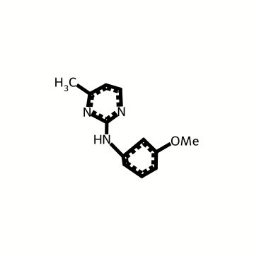 COc1cccc(Nc2nccc(C)n2)c1